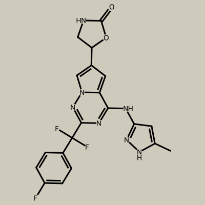 Cc1cc(Nc2nc(C(F)(F)c3ccc(F)cc3)nn3cc(C4CNC(=O)O4)cc23)n[nH]1